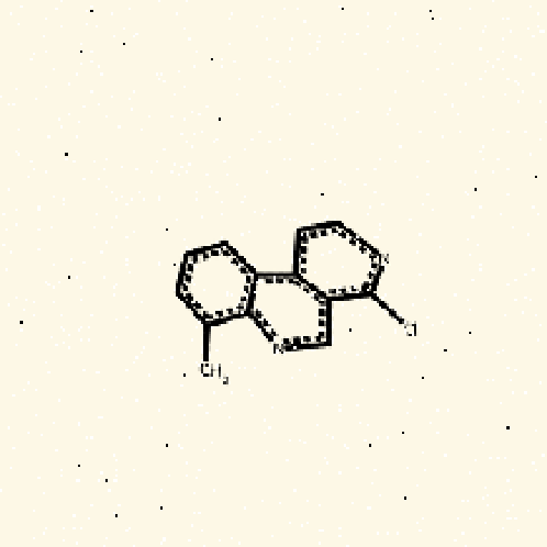 Cc1cccc2c1ncc1c(Cl)nccc12